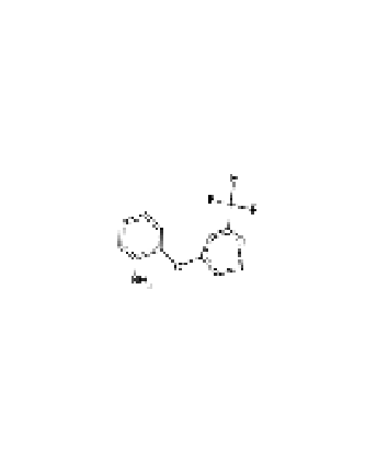 Nc1ccccc1Oc1cccc(C(F)(F)F)c1